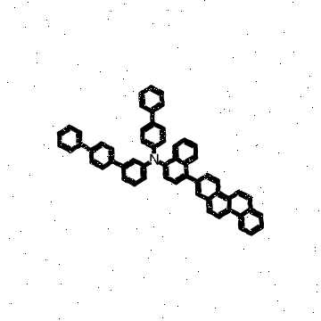 c1ccc(-c2ccc(-c3cccc(N(c4ccc(-c5ccccc5)cc4)c4ccc(-c5ccc6c(ccc7c8ccccc8ccc67)c5)c5ccccc45)c3)cc2)cc1